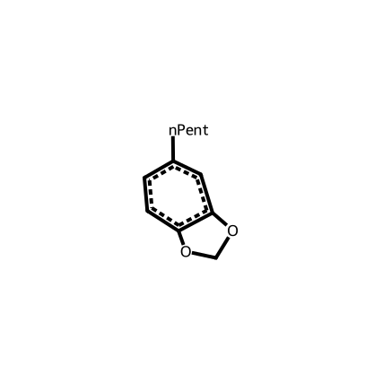 [CH2]CCCCc1ccc2c(c1)OCO2